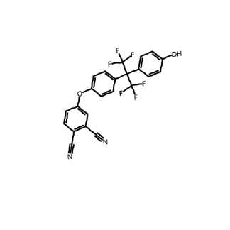 N#Cc1ccc(Oc2ccc(C(c3ccc(O)cc3)(C(F)(F)F)C(F)(F)F)cc2)cc1C#N